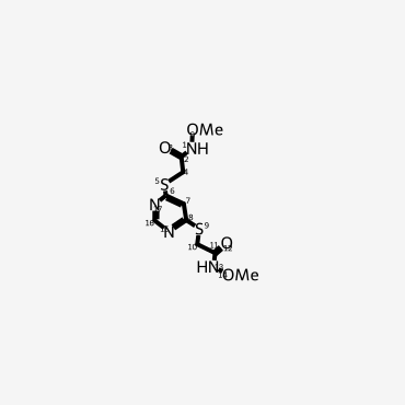 CONC(=O)CSc1cc(SCC(=O)NOC)ncn1